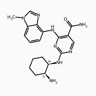 Cn1cnc2c(Nc3nc(N[C@@H]4CCCC[C@@H]4N)ncc3C(N)=O)cccc21